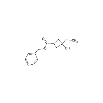 CCC1(O)CC(C(=O)OCc2ccccc2)C1